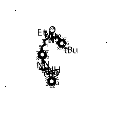 CCn1c(CCCc2ccc(-c3nccc(NS(=O)(=O)c4ccccc4)n3)cc2)nn(Cc2ccc(C(C)(C)C)cc2)c1=O